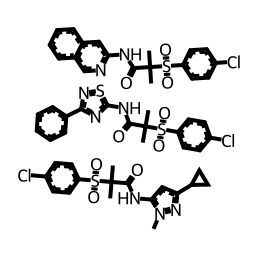 CC(C)(C(=O)Nc1cc2ccccc2cn1)S(=O)(=O)c1ccc(Cl)cc1.CC(C)(C(=O)Nc1nc(-c2ccccc2)ns1)S(=O)(=O)c1ccc(Cl)cc1.Cn1nc(C2CC2)cc1NC(=O)C(C)(C)S(=O)(=O)c1ccc(Cl)cc1